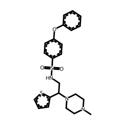 CN1CCN(C(CNS(=O)(=O)c2ccc(Oc3ccccc3)cc2)c2cccs2)CC1